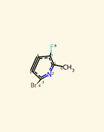 Cc1nc(Br)c#cc1F